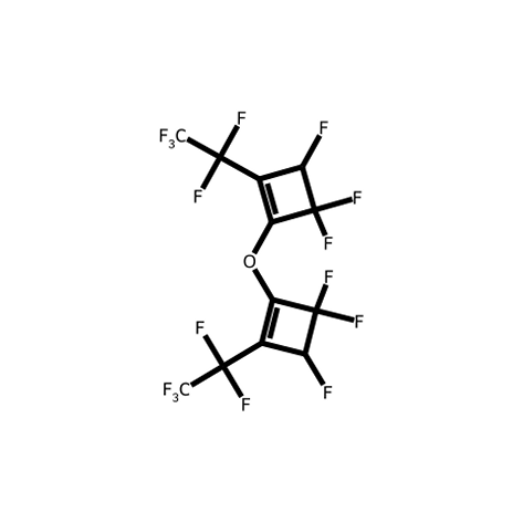 FC1C(C(F)(F)C(F)(F)F)=C(OC2=C(C(F)(F)C(F)(F)F)C(F)C2(F)F)C1(F)F